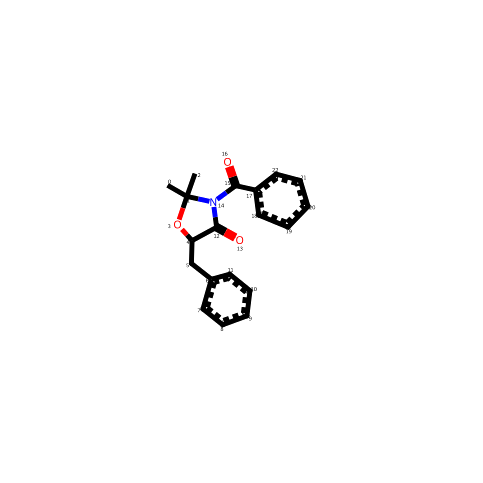 CC1(C)OC(Cc2ccccc2)C(=O)N1C(=O)c1ccccc1